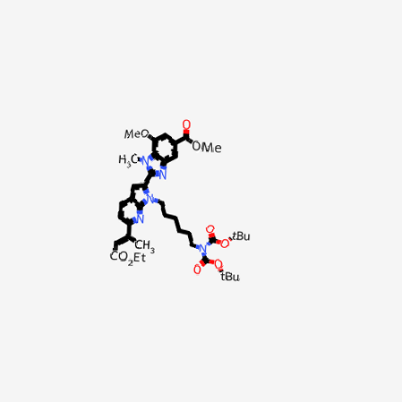 CCOC(=O)/C=C(\C)c1ccc2cc(-c3nc4cc(C(=O)OC)cc(OC)c4n3C)n(CCCCCCN(C(=O)OC(C)(C)C)C(=O)OC(C)(C)C)c2n1